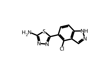 Nc1nnc(-c2ccc3[nH]ncc3c2Cl)s1